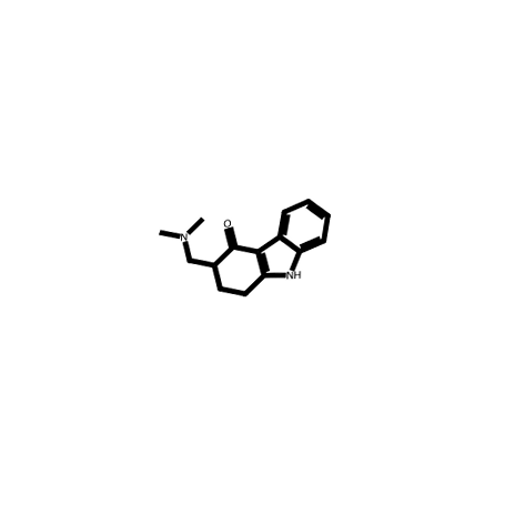 CN(C)CC1CCc2[nH]c3ccccc3c2C1=O